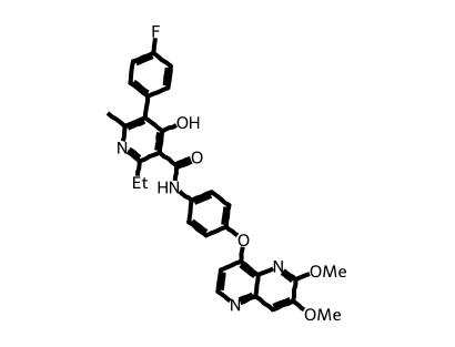 CCc1nc(C)c(-c2ccc(F)cc2)c(O)c1C(=O)Nc1ccc(Oc2ccnc3cc(OC)c(OC)nc23)cc1